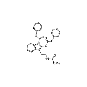 COC(=O)NCCc1c(OC(=O)Oc2ccccc2)n(C(=O)Oc2ccccc2)c2ccccc12